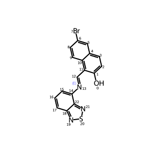 Oc1ccc2cc(Br)ccc2c1/C=N/c1cccc2nsnc12